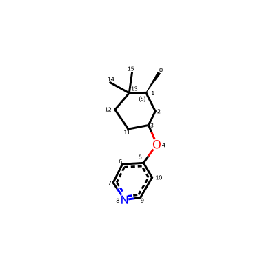 C[C@H]1CC(Oc2ccncc2)CCC1(C)C